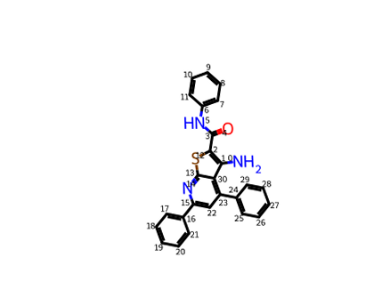 Nc1c(C(=O)Nc2ccccc2)sc2nc(-c3ccccc3)cc(-c3ccccc3)c12